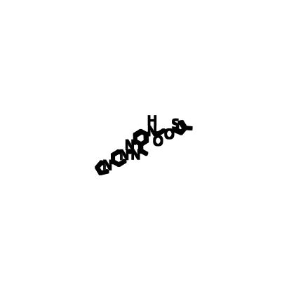 Cc1csc(OCC(=O)Nc2ccc3nc(N4CCC(N5CCCC5)CC4)nc(C)c3c2)c1